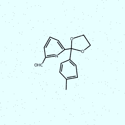 Cc1ccc(C2(c3cccc(C=O)n3)OCCO2)cc1